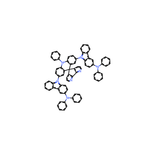 c1ccc(N(c2ccccc2)c2ccc3c(c2)c2ccccc2n3-c2ccc3c(c2)C2(c4cc(-n5c6ccccc6c6cc(N(c7ccccc7)c7ccccc7)ccc65)ccc4N3c3ccccc3)c3cccnc3-c3ncccc32)cc1